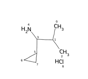 CC(C)C(N)C1CC1.Cl